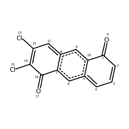 O=C1C=CC=c2cc3c(cc21)=CC(Cl)=C(Cl)C3=O